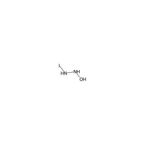 ONNI